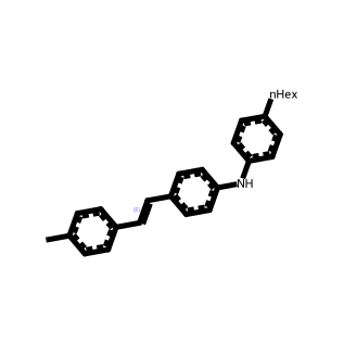 CCCCCCc1ccc(Nc2ccc(/C=C/c3ccc(C)cc3)cc2)cc1